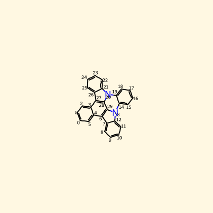 c1ccc2c(c1)c1c3ccccc3n3c4ccccc4n4c5ccccc5c2c4c13